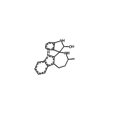 CC1CCc2c([nH]c3ccccc23)C2(N1)c1ccccc1NC2O